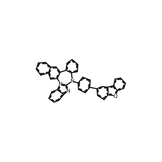 c1ccc2c(c1)-c1cc3ccccc3cc1-n1c(nc3ccccc31)N2c1ccc(-c2ccc3oc4ccccc4c3c2)cc1